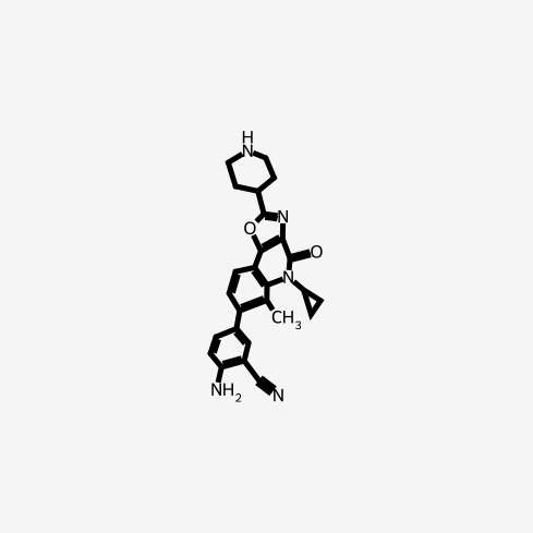 Cc1c(-c2ccc(N)c(C#N)c2)ccc2c3oc(C4CCNCC4)nc3c(=O)n(C3CC3)c12